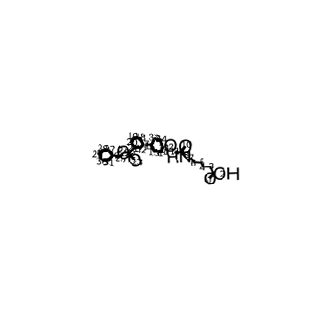 O=C(O)CCCCCNC(=O)COc1ccc(-c2cccc(C(=O)OCc3ccccc3)c2)cc1